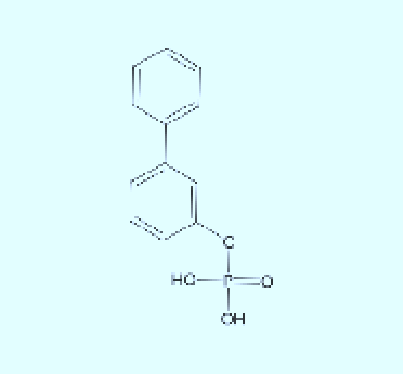 O=P(O)(O)Oc1cccc(-c2ccccc2)c1